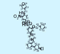 O=C(NS(=O)(=O)c1ccc(NCC2=CCOC=C2)c([N+](=O)[O-])c1)c1ccc(N2CCN(Cc3ccccc3-c3ccc(Cl)cc3)CC2)cc1OCCc1ccccc1